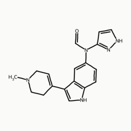 CN1CC=C(c2c[nH]c3ccc(N(C=O)c4cc[nH]n4)cc23)CC1